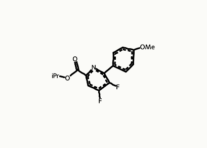 COc1ccc(-c2nc(C(=O)OC(C)C)cc(F)c2F)cc1